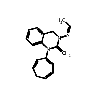 C=C1N(/N=C\C)Cc2ccccc2N1C1=CC=CCC=C1